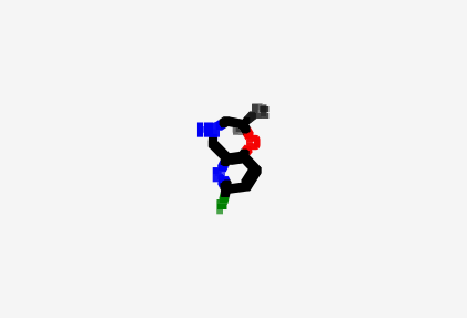 CC[C@@H]1CNCc2nc(F)ccc2O1